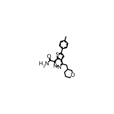 Cc1ccc(-c2cc3c(CC4CCCOC4)nnc(C(N)=O)c3s2)cc1